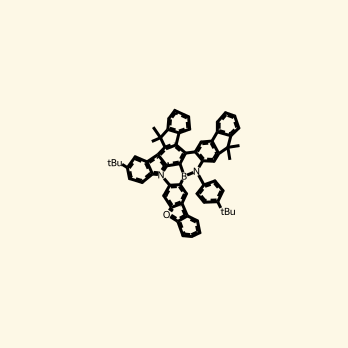 CC(C)(C)c1ccc(N2B3c4cc5c(cc4-n4c6ccc(C(C)(C)C)cc6c6c7c(c(c3c64)-c3cc4c(cc32)C(C)(C)c2ccccc2-4)-c2ccccc2C7(C)C)oc2ccccc25)cc1